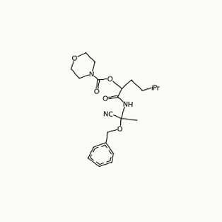 CC(C)CCC(OC(=O)N1CCOCC1)C(=O)NC(C)(C#N)OCc1ccccc1